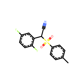 Cc1ccc(S(=O)(=O)C(C#N)c2cc(F)ccc2F)cc1